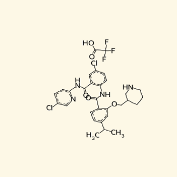 CC(C)c1ccc(C(=O)Nc2ccc(Cl)cc2C(=O)Nc2ccc(Cl)cn2)c(OCC2CCCNC2)c1.O=C(O)C(F)(F)F